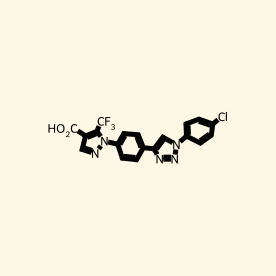 O=C(O)c1cnn(-c2ccc(-c3cn(-c4ccc(Cl)cc4)nn3)cc2)c1C(F)(F)F